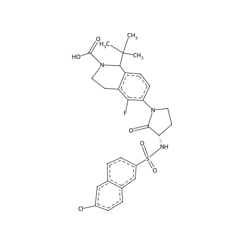 CC(C)(C)C1c2ccc(N3CC[C@H](NS(=O)(=O)c4ccc5cc(Cl)ccc5c4)C3=O)c(F)c2CCN1C(=O)O